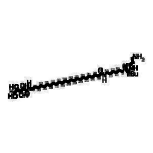 CCCCN(NCCCN)N(CCC)CCCCCCNC(=O)CCCCCCCCCCCCCCCCCCCCCCCNC(=O)[C@H](O)[C@@H](O)[C@H](O)[C@@H](C)O